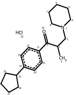 CC(CN1CCCCC1)C(=O)c1ccc(C2CCCC2)cc1.Cl